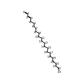 C=CC=CCCCCCCCCCCCCCCCCCCCCC